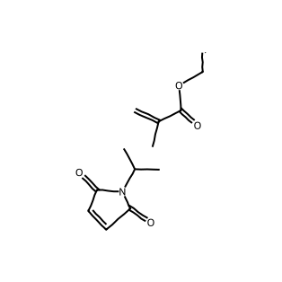 CC(C)N1C(=O)C=CC1=O.[CH2]COC(=O)C(=C)C